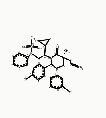 C=CC[C@@]1(C)C[C@H](c2cccc(Cl)c2)[C@@H](c2ccc(Cl)cc2)N([C@@H](CN(c2cccnc2)S(C)(=O)=O)C2CC2)C1=O